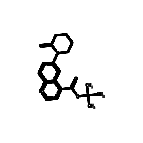 CC(C)(C)OC(=O)c1ccnc2ccc(N3CCCCC3=O)cc12